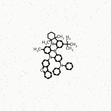 Cc1cc2c3c(c1)N1c4c(cc(C(C)(C)C)cc4C4(C)CCCCC14C)B3c1ccc(N(c3ccccc3)c3ccccc3)cc1N2c1ccc2oc3ccccc3c2c1